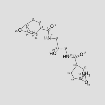 CC12CCC(C(=O)NCC(O)CNC(=O)C3CCC4(C)OC4C3)CC1O2